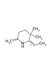 C=C1CCC(C)(C)/C(=C\C)N1